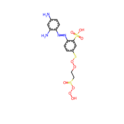 Nc1ccc(N=Nc2ccc(SOOCCS(=O)OOO)cc2S(=O)(=O)O)c(N)c1